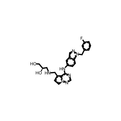 OC[C@H](O)CNCc1ccn2ncnc(Nc3ccc4c(cnn4Cc4cccc(F)c4)c3)c12